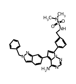 CN(C)S(=O)(=O)NCc1cccc(-c2cc(-c3ccc4cn(Cc5ccccc5)nc4c3)c3c(N)ncnn23)c1